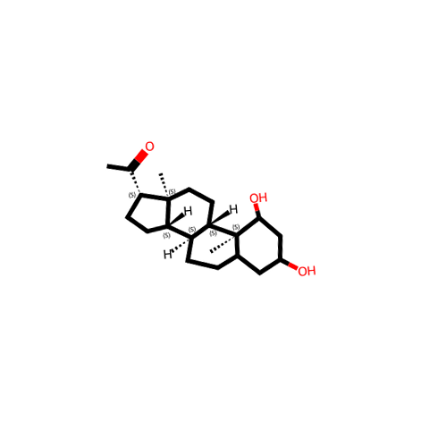 CC(=O)[C@H]1CC[C@H]2[C@@H]3CCC4CC(O)CC(O)[C@]4(C)[C@H]3CC[C@]12C